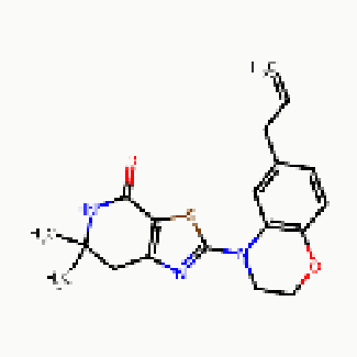 C=CCc1ccc2c(c1)N(c1nc3c(s1)C(=O)NC(C)(C)C3)CCO2